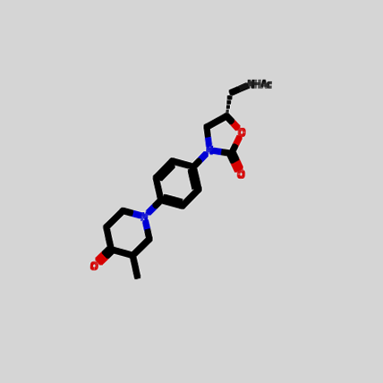 CC(=O)NC[C@H]1CN(c2ccc(N3CCC(=O)C(C)C3)cc2)C(=O)O1